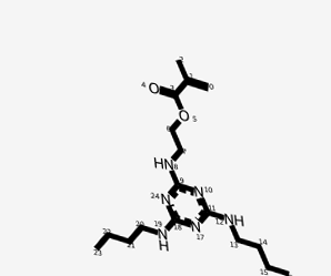 C=C(C)C(=O)OCCNc1nc(NCCCC)nc(NCCCC)n1